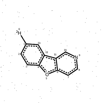 [2H]c1ccc2oc3ccncc3c2c1